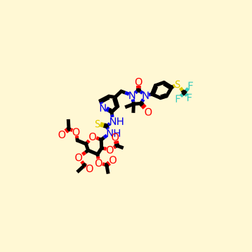 CC(=O)OCC1OC(NC(=S)Nc2cc(CN3C(=O)N(c4ccc(SC(F)(F)F)cc4)C(=O)C3(C)C)ccn2)C(OC(C)=O)C(OC(C)=O)C1OC(C)=O